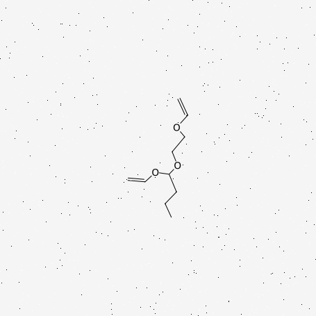 C=COCCOC(CCC)OC=C